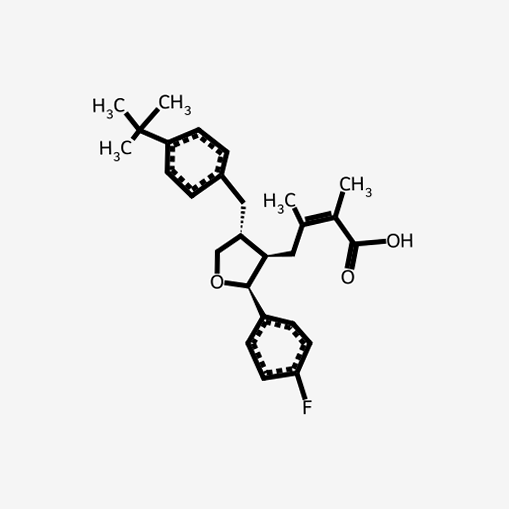 CC(C[C@@H]1[C@@H](Cc2ccc(C(C)(C)C)cc2)CO[C@@H]1c1ccc(F)cc1)=C(C)C(=O)O